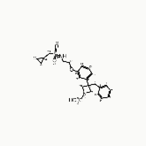 O=C(O)N1CC(Cc2ccccc2)(c2cccc(OCCNS(=O)(=O)CC3CC3)c2)C1